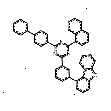 c1ccc(-c2ccc(-c3nc(-c4cccc(-c5cccc6oc7ccccc7c56)c4)nc(-c4cccc5ccccc45)n3)cc2)cc1